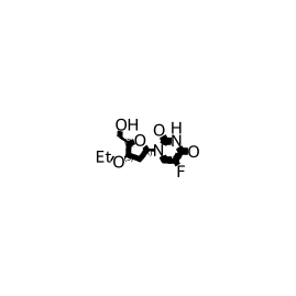 CCO[C@H]1C[C@H](n2cc(F)c(=O)[nH]c2=O)O[C@@H]1CO